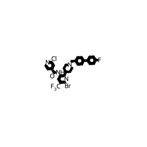 O=C(Nc1cc(C(F)(F)F)c(Br)nc1C1CCN(Cc2ccc(-c3ccc(F)cc3)cc2)CC1)c1ccnc(Cl)c1